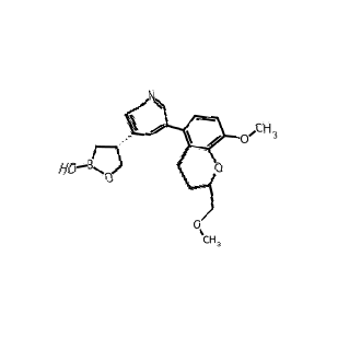 COCC1CCc2c(-c3cncc([C@@H]4COB(O)C4)c3)ccc(OC)c2O1